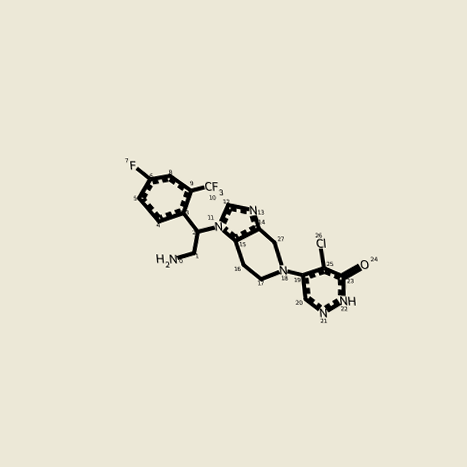 NCC(c1ccc(F)cc1C(F)(F)F)n1cnc2c1CCN(c1cn[nH]c(=O)c1Cl)C2